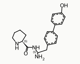 N[C@H](Cc1ccc(-c2ccc(O)cc2)cc1)NC(=O)[C@@H]1CCCCN1